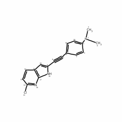 CN(C)c1ccc(C#Cc2cc3ccc(Cl)nc3[nH]2)cc1